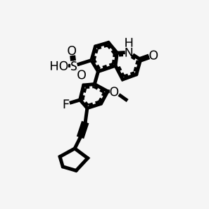 COc1cc(C#CC2CCCC2)c(F)cc1-c1c(S(=O)(=O)O)ccc2[nH]c(=O)ccc12